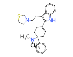 CN(C)C1(c2ccccc2)CC=C(c2[nH]c3ccccc3c2CCN2CCSC2)CC1